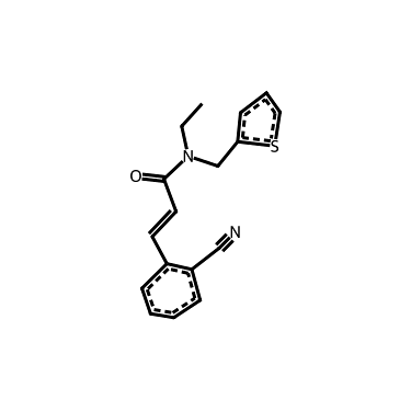 CCN(Cc1cccs1)C(=O)C=Cc1ccccc1C#N